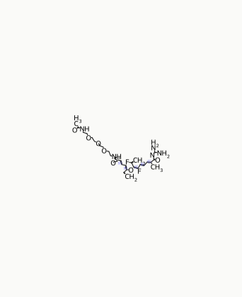 C=C/C(=C\C=C\[S+]([O-])NCCOCCOCCOCCNC(C)=O)O/C(C(=C)F)=C(F)/C=C/C=C(\C)C(=O)N=C(N)N